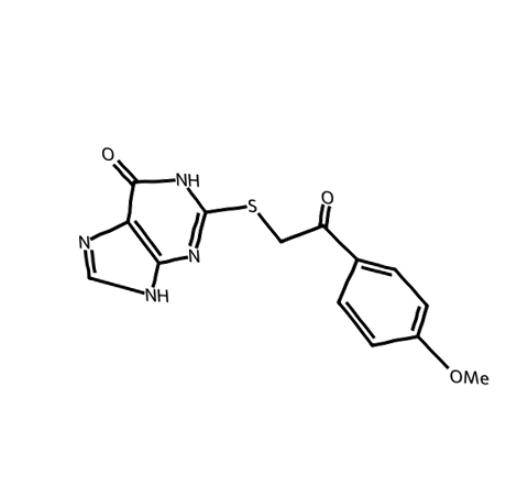 COc1ccc(C(=O)CSc2nc3[nH]cnc3c(=O)[nH]2)cc1